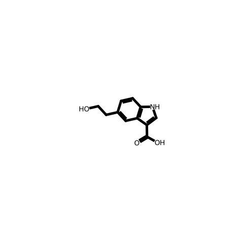 O=C(O)c1c[nH]c2ccc(CCO)cc12